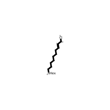 CCCCCCCCCCCCCC=C[CH]Cl